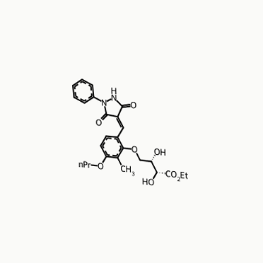 CCCOc1ccc(C=C2C(=O)NN(c3ccccc3)C2=O)c(OC[C@H](O)[C@@H](O)C(=O)OCC)c1C